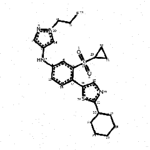 O=S(=O)(c1cc(Nc2cnn(CCF)c2)ccc1-c1cnc(C2CCCCC2)s1)C1CC1